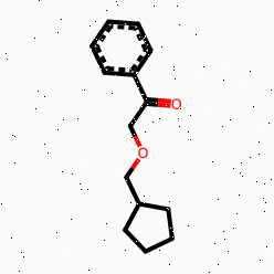 O=C(COCC1CCCC1)c1ccccc1